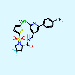 CNc1cc(CNC(=O)[C@@H]2CC(F)(F)CN2S(=O)(=O)c2ccc(Cl)s2)cc(-c2ccc(C(F)(F)F)cc2)n1